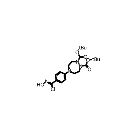 CC(C)(C)OC(=O)N1CCN(c2ccc(C(Cl)=NO)cc2)CCN1C(=O)OC(C)(C)C